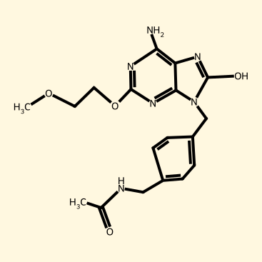 COCCOc1nc(N)c2nc(O)n(Cc3ccc(CNC(C)=O)cc3)c2n1